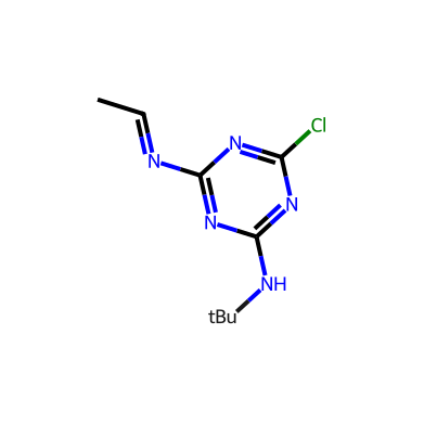 CC=Nc1nc(Cl)nc(NC(C)(C)C)n1